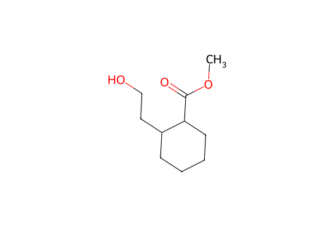 COC(=O)C1CCCCC1CCO